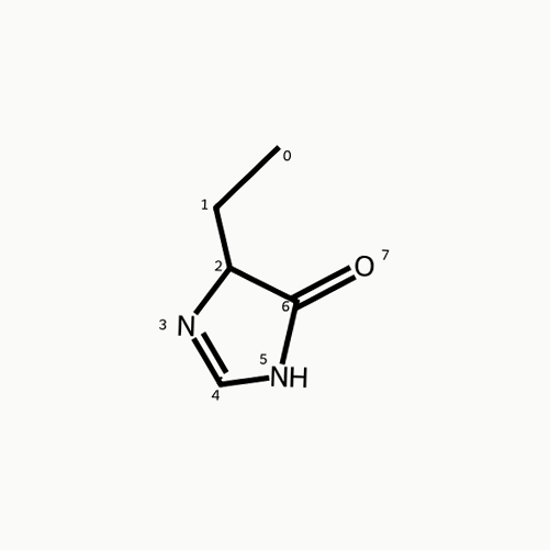 CCC1N=[C]NC1=O